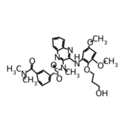 COc1cc(Nc2nc3ccccc3nc2N(C)S(=O)(=O)c2cccc(C(=O)N(C)C)c2)c(OCCCO)c(OC)c1